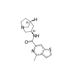 Cc1nc(C(=O)N[C@@H]2C[C@H]3CCN(C3)C2)cc2sccc12